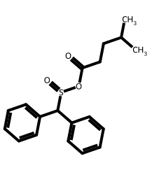 CC(C)CCC(=O)OS(=O)C(c1ccccc1)c1ccccc1